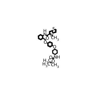 Cn1c(C(=O)Nc2ccccc2COc2ccc(O[C@H]3CC[C@@H](NC(=O)OC(C)(C)C)CC3)cc2)cc2sccc21